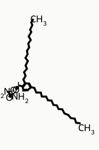 CCCCCCCCCCCCCCCCCCc1ccc(I=O)c(CCCCCCCCCCCCCCCCCC)c1.NS(N)(=O)=O